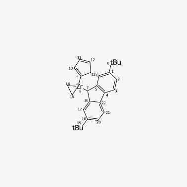 CC(C)(C)c1ccc2c(c1)[CH]([Zr]1([C]3=CC=CC3)[CH2][CH2]1)c1cc(C(C)(C)C)ccc1-2